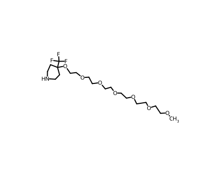 COCCOCCOCCOCCOCCOCCOC1(C(F)(F)F)CCNCC1